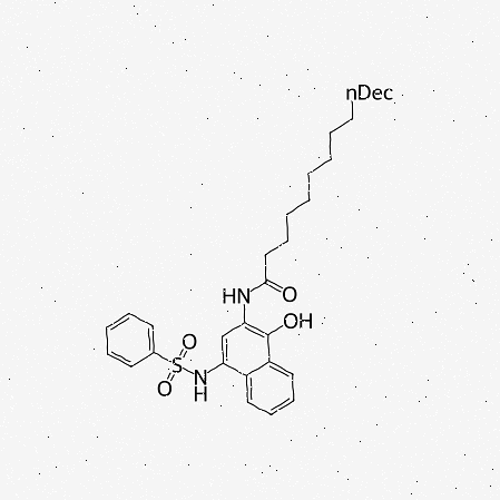 CCCCCCCCCCCCCCCCCCC(=O)Nc1cc(NS(=O)(=O)c2ccccc2)c2ccccc2c1O